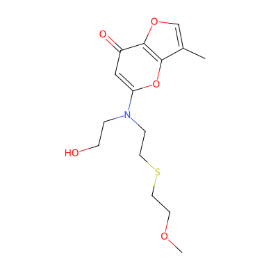 COCCSCCN(CCO)c1cc(=O)c2occ(C)c2o1